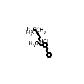 CN(C/C=C/C#CC(C)(C)C)Cc1cccc(/C=C/c2ccccc2)c1.Cl